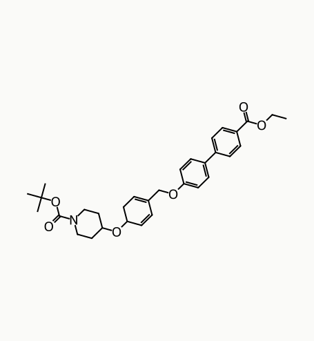 CCOC(=O)c1ccc(-c2ccc(OCC3=CCC(OC4CCN(C(=O)OC(C)(C)C)CC4)C=C3)cc2)cc1